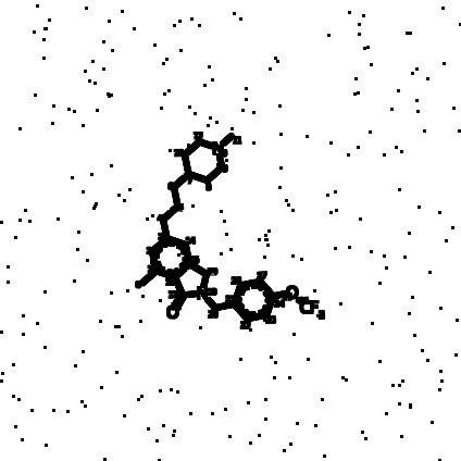 Cc1cc(CCCC2CCN(C)CC2)cc2c1C(=O)N(Cc1ccc(OC(F)(F)F)cc1)C2